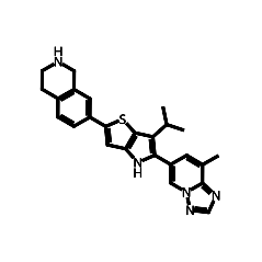 Cc1cc(-c2[nH]c3cc(-c4ccc5c(c4)CNCC5)sc3c2C(C)C)cn2ncnc12